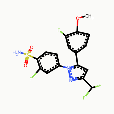 COc1ccc(-c2cc(C(F)F)nn2-c2ccc(S(N)(=O)=O)c(F)c2)cc1F